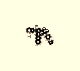 O=C(c1cn2c3c(c(N4CC5CCCNC5C4)c(F)cc3c1=O)Oc1cc3ccccc3cc1-2)N1CCC(N2CCCC2)CC1